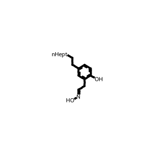 CCCCCCCCCc1ccc(O)c(CC=NO)c1